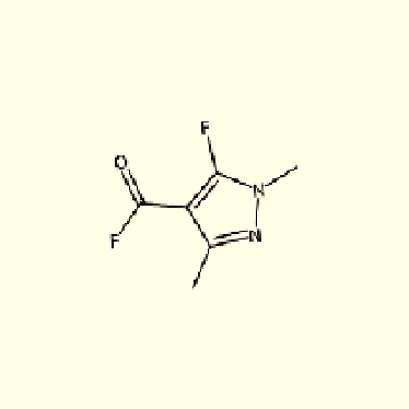 Cc1nn(C)c(F)c1C(=O)F